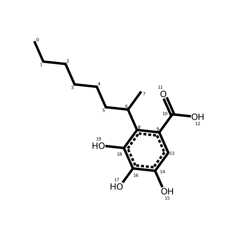 CCCCCCC(C)c1c(C(=O)O)cc(O)c(O)c1O